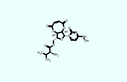 CC(C)[C@H](N)C(=O)OC[C@H]1O[C@@H](n2ccc(NO)nc2=O)[C@@H]2OC(=O)/C=C\C(=O)O[C@@H]21